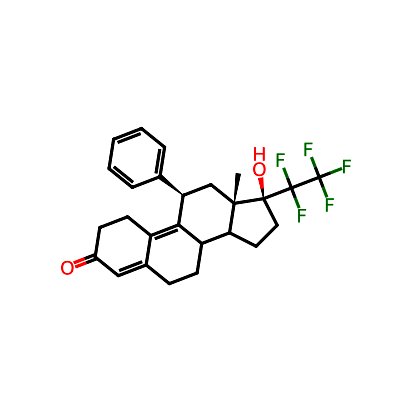 C[C@]12C[C@H](c3ccccc3)C3=C4CCC(=O)C=C4CCC3C1CC[C@@]2(O)C(F)(F)C(F)(F)F